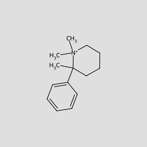 CC1(c2ccccc2)CCCC[N+]1(C)C